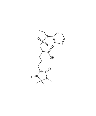 CCN(c1ccccc1)S(=O)(=O)CC(CCCN1C(=O)N(C)C(C)(C)C1=O)C(=O)O